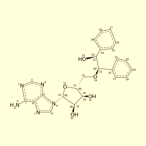 Nc1ncnc2c1ncn2[C@@H]1O[C@H](CO[C@H](c2ccccc2)[C@@H](O)c2ccccc2)[C@@H](O)[C@H]1O